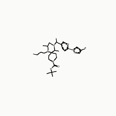 CCCCN1C(C)CN(C(C)c2ccc(-n3cc(F)cn3)nc2)C(C)C12CCN(C(=O)OC(C)(C)C)CC2